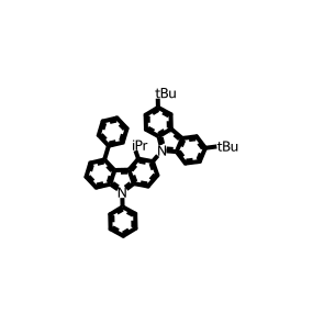 CC(C)c1c(-n2c3ccc(C(C)(C)C)cc3c3cc(C(C)(C)C)ccc32)ccc2c1c1c(-c3ccccc3)cccc1n2-c1ccccc1